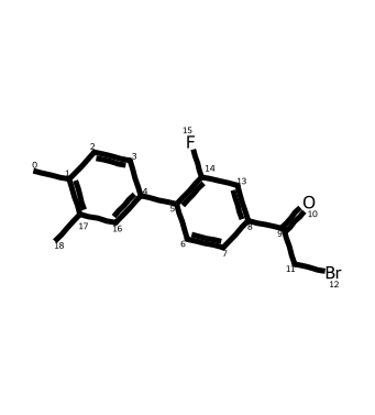 Cc1ccc(-c2ccc(C(=O)CBr)cc2F)cc1C